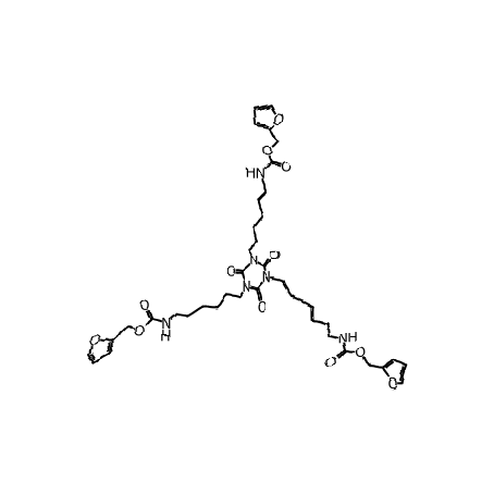 O=C(NCCCCCCn1c(=O)n(CCCCCCNC(=O)OCc2ccco2)c(=O)n(CCCCCCNC(=O)OCc2ccco2)c1=O)OCc1ccco1